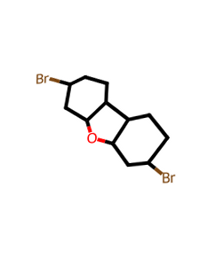 BrC1CCC2C(C1)OC1CC(Br)CCC12